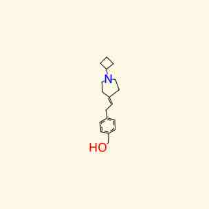 OCc1ccc(CC=C2CCN(C3CCC3)CC2)cc1